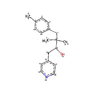 Cc1ccc(CC(C)(C)C(O)Cc2ccncc2)cc1